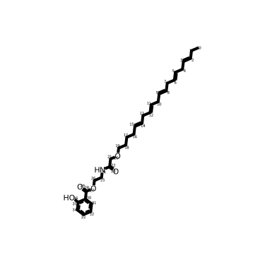 CCC=CCC=CCC=CCC=CCC=CCCCCOCC(=O)NCCOC(=O)c1ccccc1O